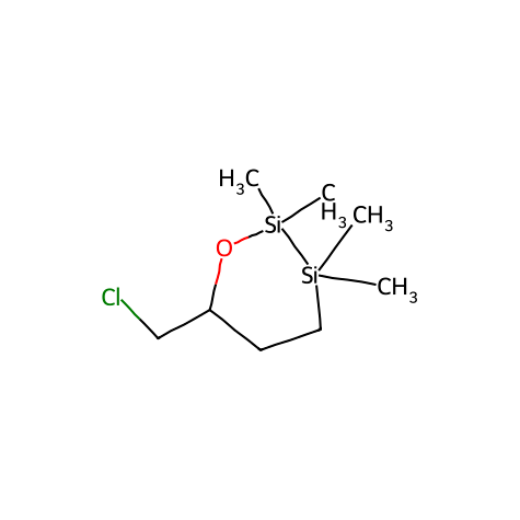 C[Si]1(C)CCC(CCl)O[Si]1(C)C